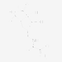 C=C(C)C(=O)NCCCC(C(=O)O)[N+](C)(C(=O)O)C(=O)O